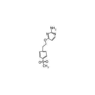 CS(=O)(=O)c1ccc(CCOc2ccnc(N)n2)cc1